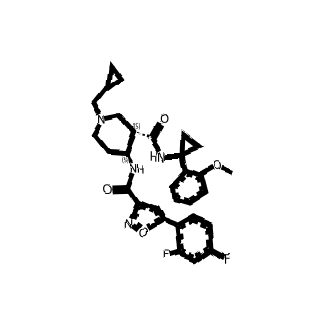 COc1ccccc1C1(NC(=O)[C@H]2CN(CC3CC3)CC[C@@H]2NC(=O)c2cc(-c3ccc(F)cc3F)on2)CC1